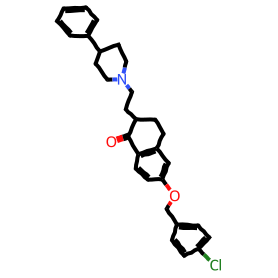 O=C1c2ccc(OCc3ccc(Cl)cc3)cc2CCC1CCN1CCC(c2ccccc2)CC1